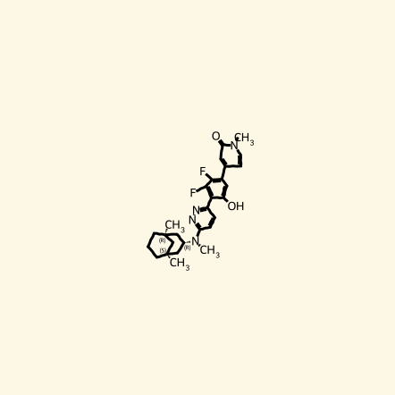 CN(c1ccc(-c2c(O)cc(-c3ccn(C)c(=O)c3)c(F)c2F)nn1)[C@H]1C[C@]2(C)CCC[C@](C)(C1)C2